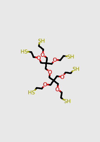 SCCOCC(COCCS)(COCCS)COCC(COCCS)(COCCS)COCCS